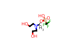 CN(CCO)CCO.O=S(=O)(O)C(F)(F)F